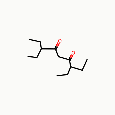 CCC(CC)C(=O)CC(=O)C(CC)CC